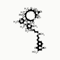 CC[C@@H]1OC(=O)[C@H](C)[C@H](O[C@@H]2C[C@](C)(OC)[C@H](OCCCN(C)CCCc3ccc4c(c3)c(=O)c(C(=O)O)cn4CC)[C@H](C)O2)[C@@H](C)[C@H](O[C@H]2O[C@@H](C)C[C@@H](N(C)C)[C@H]2O)[C@](C)(OC)C[C@H](C)C(=O)C(C)[C@H]2OC(=O)O[C@@]12C